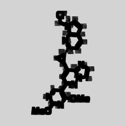 COc1ncc(-c2cc(C3C[C@@H]3c3ccc4ccn(CC(F)(F)F)c4n3)c3nccn3n2)c(OC)n1